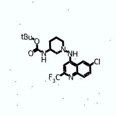 CC(C)(C)OC(=O)NC1CCCN(Nc2cc(C(F)(F)F)nc3ccc(Cl)cc23)C1